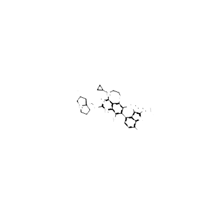 C[C@H]1CN(C2CC2)c2nc(OC[C@@]34CCCN3C[C@H](F)C4)nc3c(F)c(-c4ccc(F)c5sc(N)c(C#N)c45)c(Cl)c(c23)O1